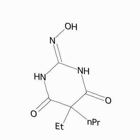 CCCC1(CC)C(=O)NC(=NO)NC1=O